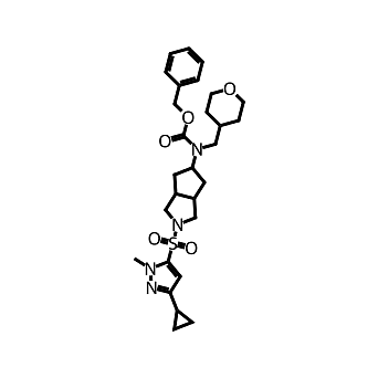 Cn1nc(C2CC2)cc1S(=O)(=O)N1CC2CC(N(CC3CCOCC3)C(=O)OCc3ccccc3)CC2C1